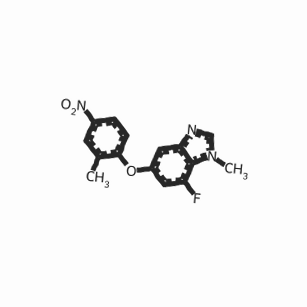 Cc1cc([N+](=O)[O-])ccc1Oc1cc(F)c2c(c1)ncn2C